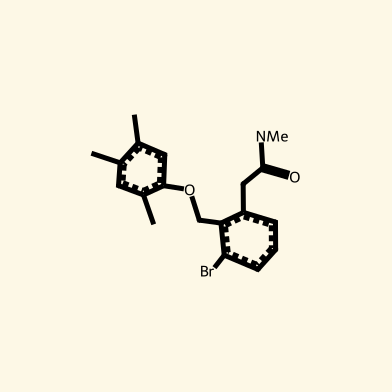 CNC(=O)Cc1cccc(Br)c1COc1cc(C)c(C)cc1C